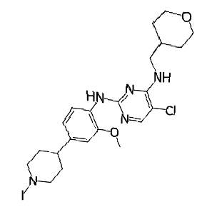 COc1cc(C2CCN(I)CC2)ccc1Nc1ncc(Cl)c(NCC2CCOCC2)n1